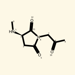 CN[C@@H]1CC(=O)N(CC(C)=O)C1=O